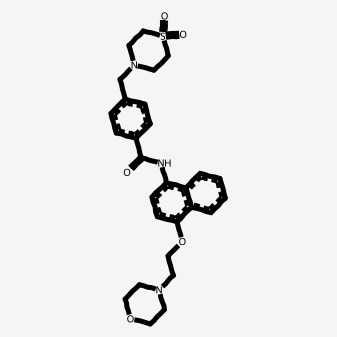 O=C(Nc1ccc(OCCN2CCOCC2)c2ccccc12)c1ccc(CN2CCS(=O)(=O)CC2)cc1